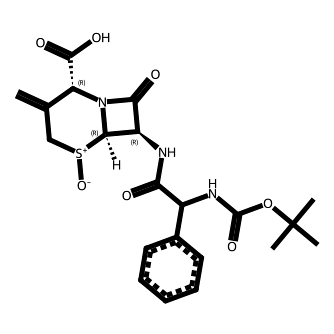 C=C1C[S+]([O-])[C@@H]2[C@H](NC(=O)C(NC(=O)OC(C)(C)C)c3ccccc3)C(=O)N2[C@H]1C(=O)O